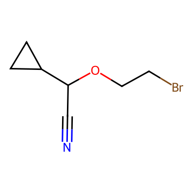 N#CC(OCCBr)C1CC1